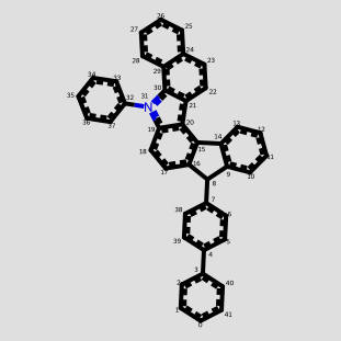 c1ccc(-c2ccc(C3c4ccccc4-c4c3ccc3c4c4ccc5ccccc5c4n3-c3ccccc3)cc2)cc1